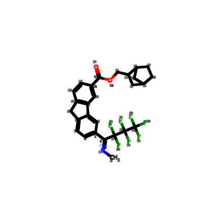 C/N=C(/c1ccc2c(c1)-c1cc(C(=O)OCC3CC4CCC3C4)ccc1C2)C(F)(F)C(F)(F)C(F)(F)F